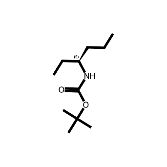 CCC[C@H](CC)NC(=O)OC(C)(C)C